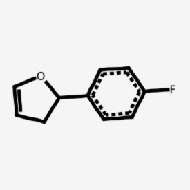 Fc1ccc(C2CC=CO2)cc1